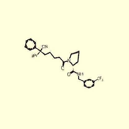 CC(C)[C@@](C#N)(CCCCC(=O)N1CCC[C@@H]1C(=O)NCc1cccc(C(F)(F)F)c1)c1ccccc1